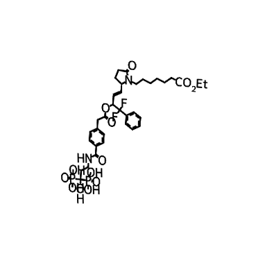 CCOC(=O)CCCCCCN1C(=O)CC[C@@H]1/C=C/C(OC(=O)Cc1ccc(C(=O)NCCC(O)(P(=O)(O)O)P(=O)(O)O)cc1)C(F)(F)c1ccccc1